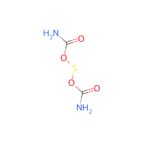 NC(=O)OSOC(N)=O